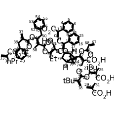 C=C(C(=O)O)c1ccccc1.C=C(C(=O)O)c1ccccc1.C=C(C(=O)OC(=C(C)C(=O)O)C(C)CC)C(C)(C)C.C=C(C)C(=O)O.C=C(CCC)C(=O)OCC.C=C(Cc1ccccc1)C(=O)OC(Cc1ccccc1)=C(C)C(=O)OC(CC)=C(C)C(=O)O.C=CC(=O)OC(=C(C)C(=O)O)C1C[C@H]2CC[C@@]1(C)C2(C)C